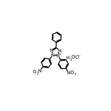 O.O=[N+]([O-])c1ccc(-n2nc(-c3ccccc3)n[n+]2-c2ccc([N+](=O)[O-])cc2)cc1.[Cl-]